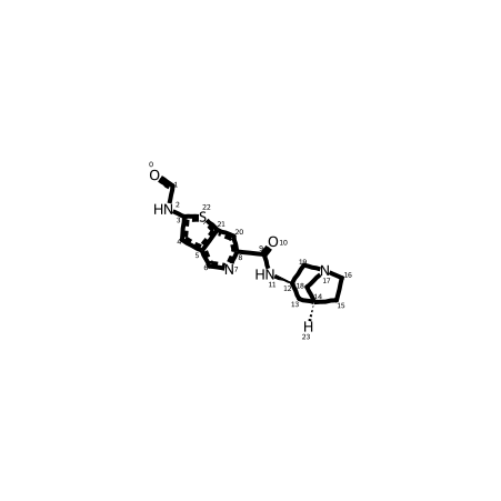 O=CNc1cc2cnc(C(=O)N[C@@H]3C[C@@H]4CCN(C4)C3)cc2s1